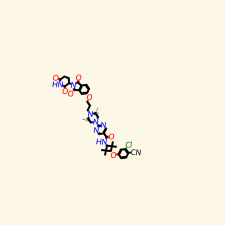 C[C@@H]1CN(c2ncc(C(=O)NC3C(C)(C)C(Oc4ccc(C#N)c(Cl)c4)C3(C)C)cn2)C[C@H](C)N1CCCOc1ccc2c(c1)C(=O)N(C1CCC(=O)NC1=O)C2=O